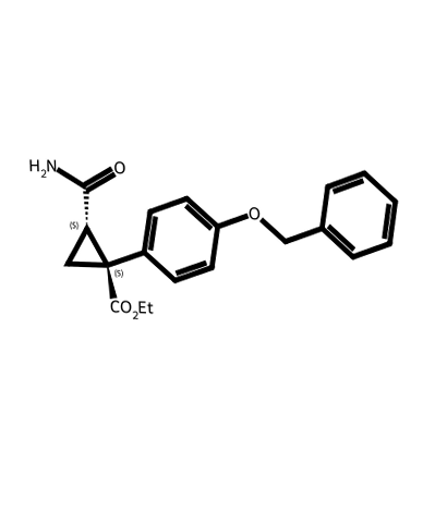 CCOC(=O)[C@@]1(c2ccc(OCc3ccccc3)cc2)C[C@@H]1C(N)=O